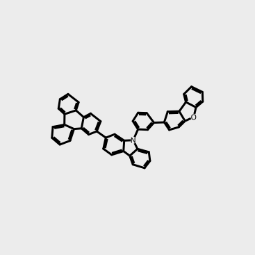 c1cc(-c2ccc3oc4ccccc4c3c2)cc(-n2c3ccccc3c3ccc(-c4ccc5c6ccccc6c6ccccc6c5c4)cc32)c1